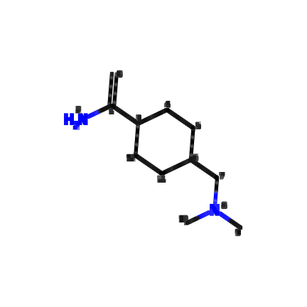 C=C(N)C1CCC(CN(C)C)CC1